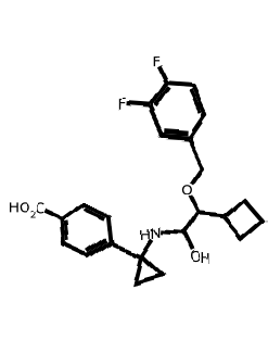 O=C(O)c1ccc(C2(NC(O)C(OCc3ccc(F)c(F)c3)C3CCC3)CC2)cc1